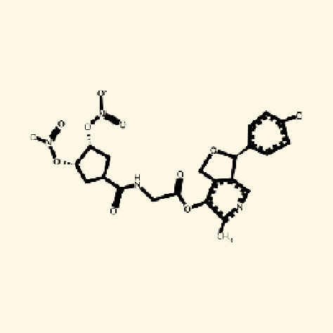 Cc1ncc2c(c1OC(=O)CNC(=O)C1C[C@H](O[N+](=O)[O-])[C@H](O[N+](=O)[O-])C1)CO[C@H]2c1ccc(Cl)cc1